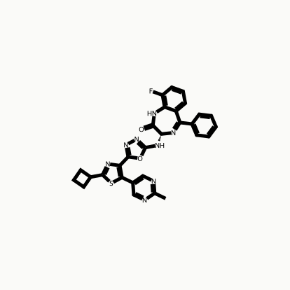 Cc1ncc(-c2sc(C3CCC3)nc2-c2nnc(N[C@H]3N=C(c4ccccc4)c4cccc(F)c4NC3=O)o2)cn1